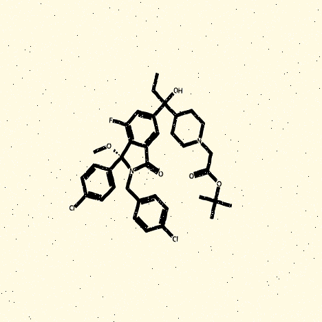 CCC(O)(c1cc(F)c2c(c1)C(=O)N(Cc1ccc(Cl)cc1)[C@@]2(OC)c1ccc(Cl)cc1)C1CCN(CC(=O)OC(C)(C)C)CC1